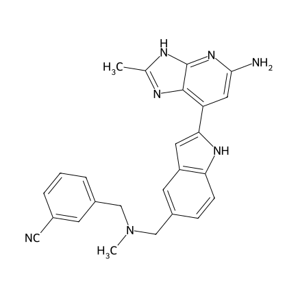 Cc1nc2c(-c3cc4cc(CN(C)Cc5cccc(C#N)c5)ccc4[nH]3)cc(N)nc2[nH]1